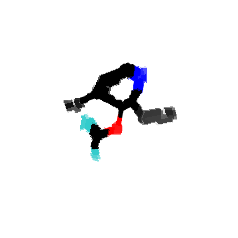 Cc1ccnc(C(=O)O)c1OC(F)F